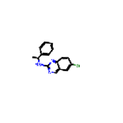 CC(Nc1ncc2cc(Br)ccc2n1)c1ccccc1